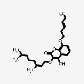 CCC=CCCOc1cccc2c(O)c(OCC=C(C)CCC=C(C)C)c(=O)oc12